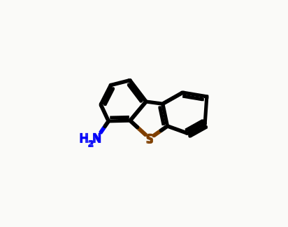 Nc1cccc2c1sc1c#cccc12